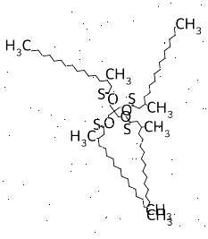 CCCCCCCCCCCCCCC(C)CC(=S)OCC(COC(=S)CC(C)CCCCCCCCCCCCCC)(COC(=S)CC(C)CCCCCCCCCCCCCC)COC(=S)CC(C)CCCCCCCCCCCCCC